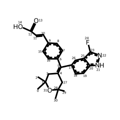 CC1(C)CC(=C(c2ccc(/C=C/C(=O)O)cc2)c2ccc3[nH]nc(F)c3c2)CC(C)(C)O1